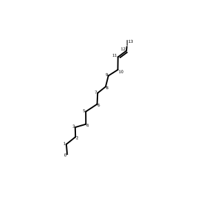 CCCCCCCCCCC/C=C/I